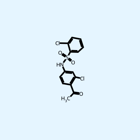 CC(=O)c1ccc(NS(=O)(=O)c2ccccc2Cl)cc1Cl